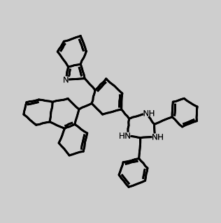 C1=CC(C2NC(C3=CC=C(C4=c5ccccc5=N4)C(C4CC5C=CCCC5C5=C4C=CCC5)C3)NC(c3ccccc3)N2)=CCC1